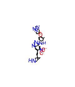 Cc1cc(Nc2ncnc3cc(C#CC45CNCC4C5)c([N+](=O)[O-])cc23)ccc1Oc1ccn2ncnc2c1